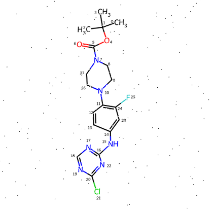 CC(C)(C)OC(=O)N1CCN(c2ccc(Nc3ncnc(Cl)n3)cc2F)CC1